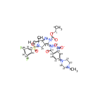 CCOC(=O)n1nc2c(c1NC(=O)c1ccc(N3CCN(C)CC3)cc1[N+](=O)[O-])CN(S(=O)(=O)c1cc(F)cc(F)c1)C2(C)C